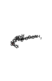 CN(C(=O)OCc1ccccc1)c1ccc(C(=O)N[C@@H](CCC(=O)NCCOCCOCCOCCN)C(=O)O)cc1